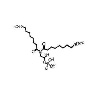 [2H]C(CN(C(=O)CCCCCCCCCCCCCCCCC)C(=O)CCCCCCCCCCCCCCCCC)OP(=O)(O)O